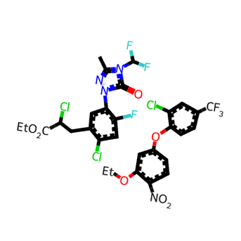 CCOC(=O)C(Cl)Cc1cc(-n2nc(C)n(C(F)F)c2=O)c(F)cc1Cl.CCOc1cc(Oc2ccc(C(F)(F)F)cc2Cl)ccc1[N+](=O)[O-]